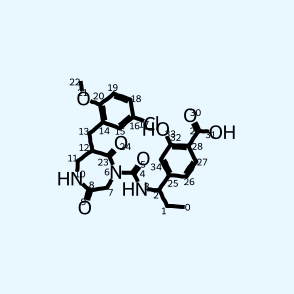 CCC(NC(=O)N1CC(=O)NCC(Cc2cc(Cl)ccc2OC)C1=O)c1ccc(C(=O)O)c(O)c1